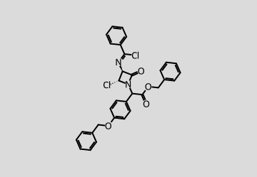 O=C(OCc1ccccc1)C(c1ccc(OCc2ccccc2)cc1)N1C(=O)[C@H](N=C(Cl)c2ccccc2)[C@H]1Cl